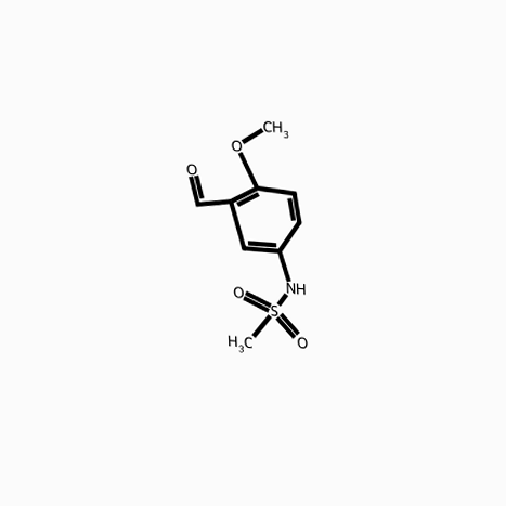 COc1ccc(NS(C)(=O)=O)cc1C=O